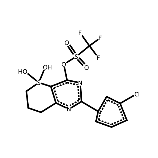 O=S(=O)(Oc1nc(-c2cccc(Cl)c2)nc2c1S(O)(O)CCC2)C(F)(F)F